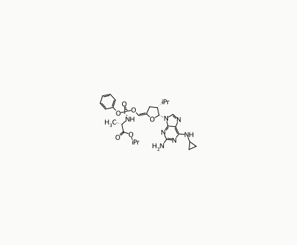 CC(C)OC(=O)[C@H](C)N[P@](=O)(O/C=C1\C[C@H](C(C)C)[C@H](n2cnc3c(NC4CC4)nc(N)nc32)O1)Oc1ccccc1